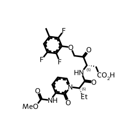 CC[C@@H](C(=O)N[C@@H](CC(=O)O)C(=O)COc1c(F)c(C)cc(F)c1F)n1cccc(NC(=O)OC)c1=O